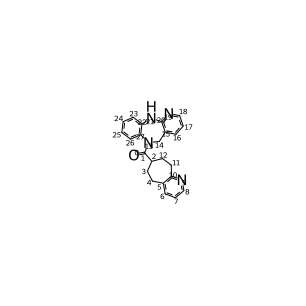 O=C(C1CCc2cccnc2CC1)N1Cc2cccnc2Nc2ccccc21